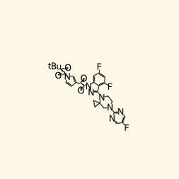 CC(C)(C)S(=O)(=O)n1ccc(S(=O)(=O)n2nc(N3CCN(c4ncc(F)cn4)CC34CC4)c3c(F)cc(F)cc32)c1